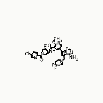 COc1ncc(-c2cc(CN3CCC(F)(F)CC3)c3c(N)ncnn23)cc1C(=O)N[C@@H]1CN(C(=O)c2ccc(Cl)cn2)C[C@@H]1F